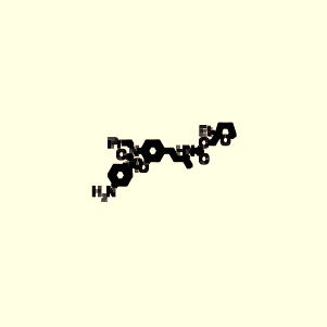 CC[C@@]1(COC(=O)NC(C)CCc2ccc(N(CC(C)C)S(=O)(=O)c3ccc(N)cc3)c(O)c2)CCCO1